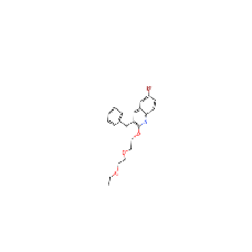 CCOCCOCCOc1nc2ccc(Br)cc2cc1Cc1ccccc1